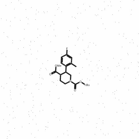 CCCCOC(=O)N1CCC(C(=O)OC)C(c2ccc(F)cc2C)C1